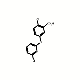 O=C(O)c1cc(Oc2cccc(Cl)n2)ccc1Cl